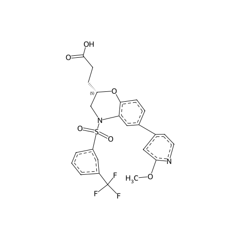 COc1cc(-c2ccc3c(c2)N(S(=O)(=O)c2cccc(C(F)(F)F)c2)C[C@H](CCC(=O)O)O3)ccn1